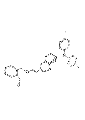 Cc1ccc(N(c2ccc(C)cc2)c2ccc3cc(C=COCc4ccccc4C=O)ccc3c2)cc1